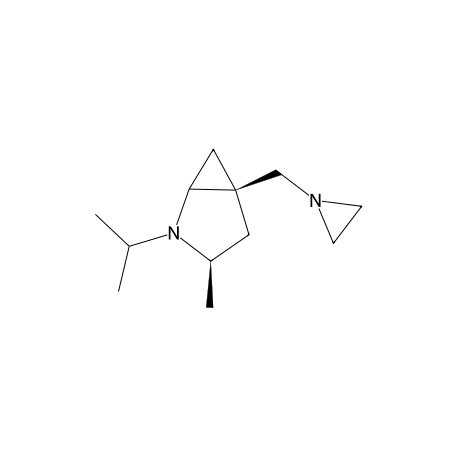 CC(C)N1C2C[C@]2(CN2CC2)C[C@H]1C